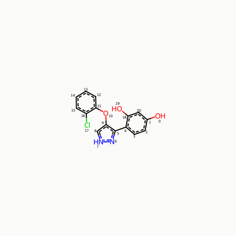 Oc1ccc(-c2n[nH]cc2Oc2ccccc2Cl)c(O)c1